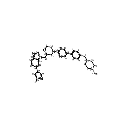 CC(=O)N1CCN(Cc2ccc(-c3cnc(N4CCOC(Cn5nnc6ncc(-c7cnn(C)c7)nc65)C4)nc3)cc2)CC1